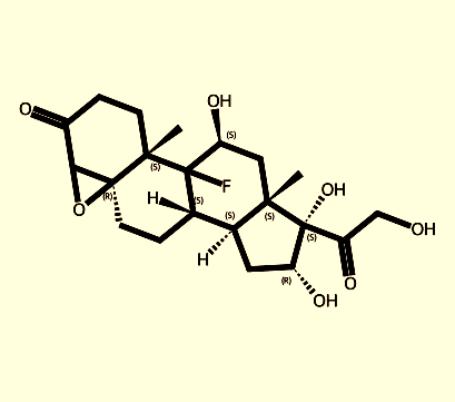 C[C@]12C[C@H](O)C3(F)[C@@H](CC[C@]45OC4C(=O)CC[C@]35C)[C@@H]1C[C@@H](O)[C@]2(O)C(=O)CO